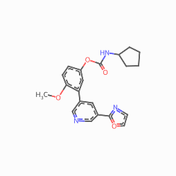 COc1ccc(OC(=O)NC2CCCC2)cc1-c1cncc(-c2ncco2)c1